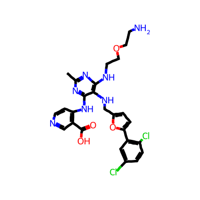 Cc1nc(NCCOCCN)c(NCc2ccc(-c3cc(Cl)ccc3Cl)o2)c(Nc2ccncc2C(=O)O)n1